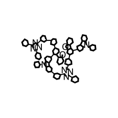 c1ccc(-c2nc(-c3ccccc3)nc(-c3cccc(-c4cccc(-c5cc(-c6ccc7c(c6)c6cc(-c8cccc(-c9nc(-c%10ccccc%10)nc(-c%10ccc(-c%11cc(-c%12ccc%13c(c%12)c%12ccccc%12n%13-c%12ccccc%12)c%12c(c%11)oc%11ccccc%11%12)cc%10)n9)c8)ccc6n7-c6ccccc6)c6c(c5)oc5ccccc56)c4)c3)n2)cc1